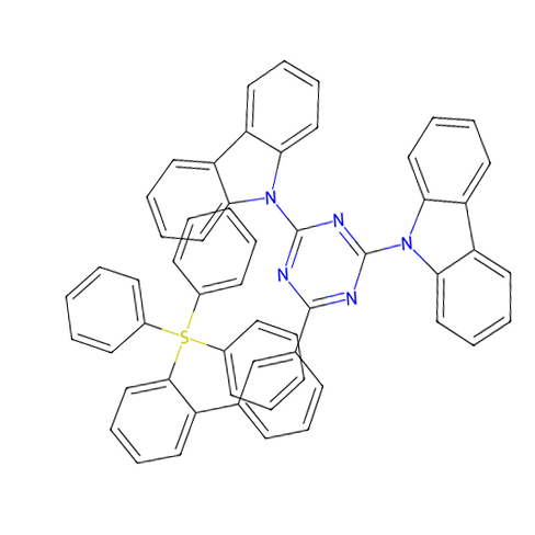 c1ccc(S(c2ccccc2)(c2ccccc2)c2ccccc2-c2cccc(-c3nc(-n4c5ccccc5c5ccccc54)nc(-n4c5ccccc5c5ccccc54)n3)c2)cc1